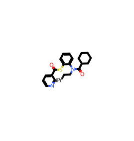 CC(C)CCN(C(=O)C1CCCCC1)c1ccccc1SC(=O)c1cccnc1